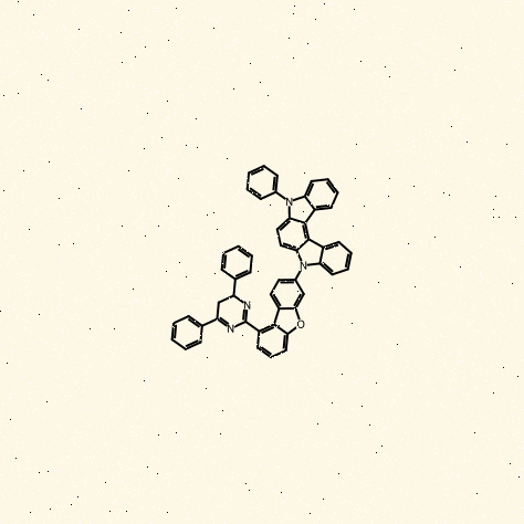 c1ccc(C2=NC(c3cccc4oc5cc(-n6c7ccccc7c7c8c9ccccc9n(-c9ccccc9)c8ccc76)ccc5c34)=NC(c3ccccc3)C2)cc1